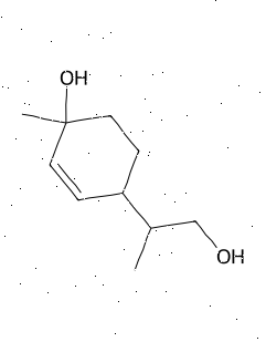 CC(CO)C1C=CC(C)(O)CC1